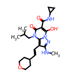 CNc1nn2c(O)c(C(=O)NC3CC3)c(=O)n(CC(C)C)c2c1/C=C/C1CCOCC1